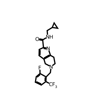 O=C(NCC1CC1)c1ccc2c(n1)CCN(Cc1c(F)cccc1C(F)(F)F)C2